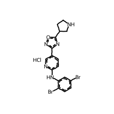 Brc1ccc(Br)c(Nc2ccc(-c3noc(C4CCNC4)n3)cn2)c1.Cl